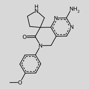 COc1ccc(N2Cc3cnc(N)nc3C3(CCNC3)C2=O)cc1